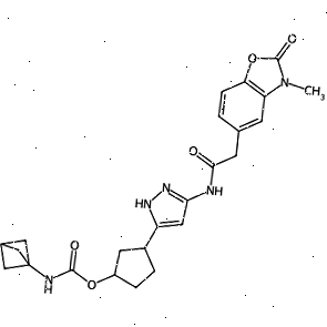 Cn1c(=O)oc2ccc(CC(=O)Nc3cc(C4CCC(OC(=O)NC56CC(C5)C6)C4)[nH]n3)cc21